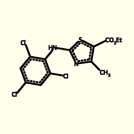 CCOC(=O)c1sc(Nc2c(Cl)cc(Cl)cc2Cl)nc1C